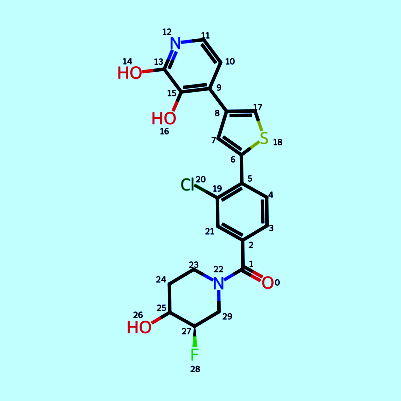 O=C(c1ccc(-c2cc(-c3ccnc(O)c3O)cs2)c(Cl)c1)N1CCC(O)[C@H](F)C1